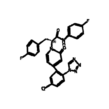 O=C(Nc1ccc(F)cc1)[C@@H](Cc1ccc(F)cc1)n1ccc(-c2cc(Cl)ccc2-n2cnnn2)cc1=O